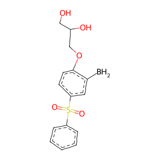 Bc1cc(S(=O)(=O)c2ccccc2)ccc1OCC(O)CO